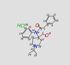 COCC1(N(C(=O)Cc2ccccc2)c2ccccc2)CCN(C(C)C)CC1.Cl